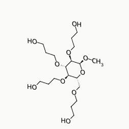 CO[C@H]1O[C@H](COCCCO)[C@@H](OCCCO)[C@H](OCCCO)[C@H]1OCCCO